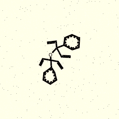 C=CC(C=C)(OC(C=C)(C=C)c1ccccc1)c1ccccc1